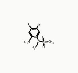 CCc1cc(N(C)S(C)(=O)=O)c([N+](=O)[O-])cc1F